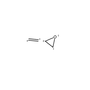 C1CO1.C=C